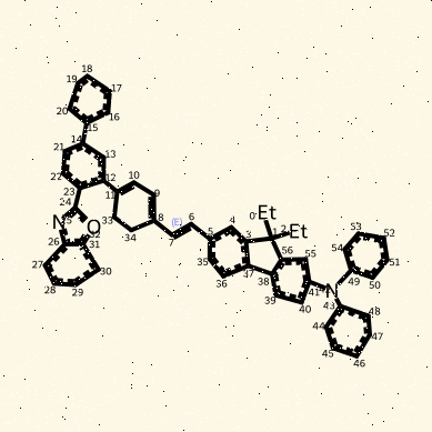 CCC1(CC)c2cc(/C=C/C3=CC=C(c4cc(-c5ccccc5)ccc4-c4nc5ccccc5o4)CC3)ccc2-c2ccc(N(c3ccccc3)c3ccccc3)cc21